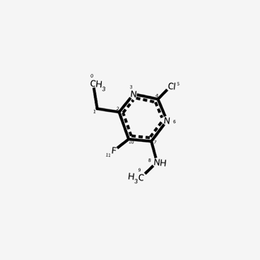 CCc1nc(Cl)nc(NC)c1F